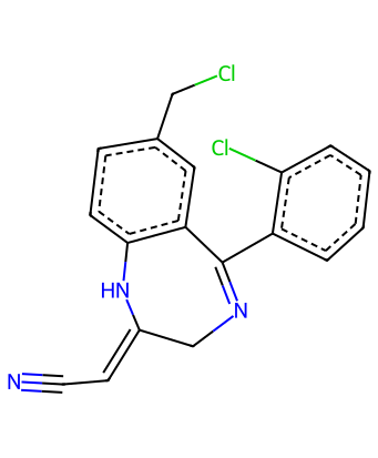 N#CC=C1CN=C(c2ccccc2Cl)c2cc(CCl)ccc2N1